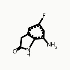 Nc1cc(F)cc2c1NC(=O)C2